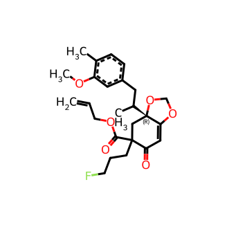 C=CCOC(=O)C1(CCCF)C[C@]2(C(C)Cc3ccc(C)c(OC)c3)OCOC2=CC1=O